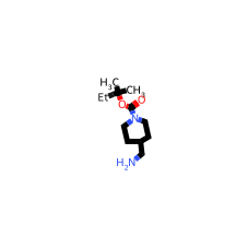 CCC(C)(C)OC(=O)N1CCC(CN)CC1